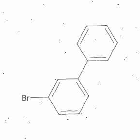 Brc1[c]c(-c2ccccc2)c[c]c1